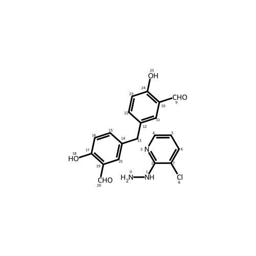 NNc1ncccc1Cl.O=Cc1cc(Cc2ccc(O)c(C=O)c2)ccc1O